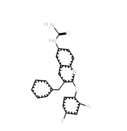 CC(=O)c1cc(F)ccc1Oc1nc2ccc(NC(N)=O)cc2cc1Cc1ccccc1